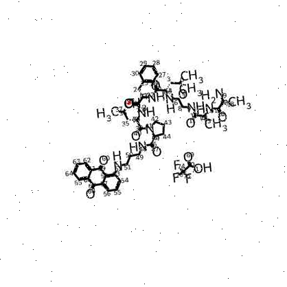 CC(C)C[C@H](NC(=O)CNC(=O)[C@H](C)NC(=O)[C@@H](C)N)C(=O)N[C@@H](Cc1ccccc1)C(=O)N[C@@H](CC(C)C)C(=O)N1CCC[C@H]1C(=O)NCCCNc1cccc2c1C(=O)c1ccccc1C2=O.O=C(O)C(F)(F)F